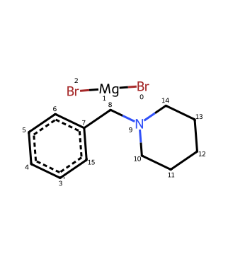 [Br][Mg][Br].[c]1cccc(CN2CCCCC2)c1